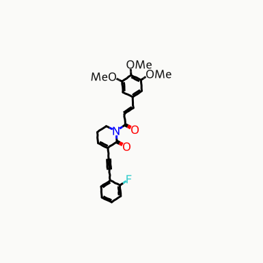 COc1cc(C=CC(=O)N2CCC=C(C#Cc3ccccc3F)C2=O)cc(OC)c1OC